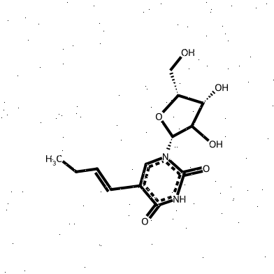 CC/C=C/c1cn([C@@H]2O[C@H](CO)[C@H](O)C2O)c(=O)[nH]c1=O